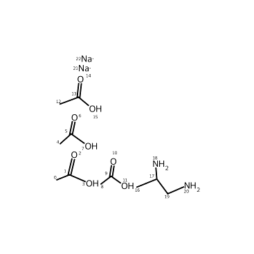 CC(=O)O.CC(=O)O.CC(=O)O.CC(=O)O.CC(N)CN.[Na].[Na]